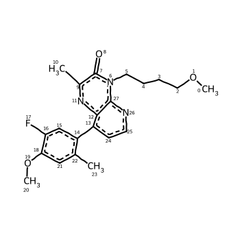 COCCCCn1c(=O)c(C)nc2c(-c3cc(F)c(OC)cc3C)ccnc21